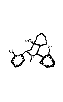 CN(C)C(c1ccccc1Br)C1CCCCC1(O)CCc1ccccc1Cl